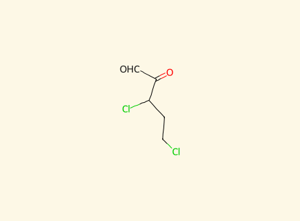 O=CC(=O)C(Cl)CCCl